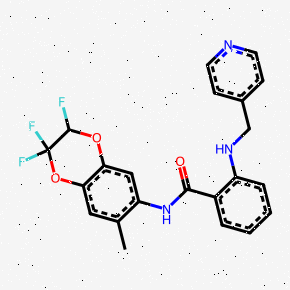 Cc1cc2c(cc1NC(=O)c1ccccc1NCc1ccncc1)OC(F)C(F)(F)O2